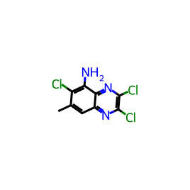 Cc1cc2nc(Cl)c(Cl)nc2c(N)c1Cl